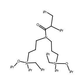 CC(C)CC(C(=O)N(CCC[Si](CC(C)C)(OC(C)C)C(C)C)CCC[Si](CC(C)C)(OC(C)C)C(C)C)C(C)C